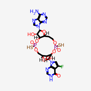 Nc1ncnc2c1ncn2[C@@H]1O[C@@H]2CCOP(=O)(S)O[C@@H]3[C@H](O)[C@@H](COP(=O)(S)O[C@H]2[C@H]1O)O[C@H]3n1cc(F)c2c(=O)[nH]cnc21